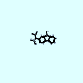 CN(C)C(c1ccc2c3ccccc3n(C)c2c1)N(C)C